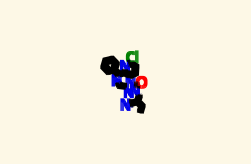 CCC(C#N)Cn1nc2n(c1=O)-c1ccc(Cl)nc1C(c1ccccc1)=NC2